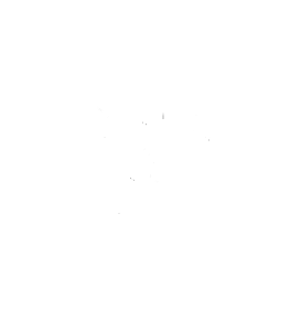 CNC(=O)c1cc(C(=O)NC2CC2CO)cn(Cc2cccc(C)c2F)c1=O